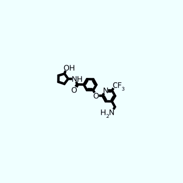 NCc1cc(Oc2cccc(C(=O)NC3CCCC3O)c2)nc(C(F)(F)F)c1